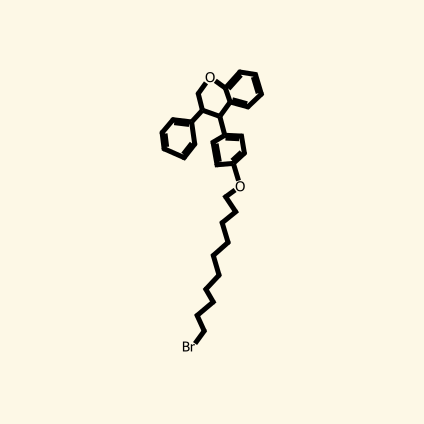 BrCCCCCCCCCCOc1ccc(C2c3ccccc3OCC2c2ccccc2)cc1